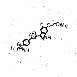 COCCOc1cc2[nH]nc(-c3cc(-c4ccc(S(C)(=N)=O)cc4)no3)c2cc1F